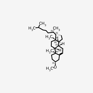 CO[C@H]1CC[C@@]2(C)C(=CC[C@H]3[C@H]4CC[C@@H]([C@@H](C)CCCC(C)C)[C@@]4(C)CC[C@H]32)C1